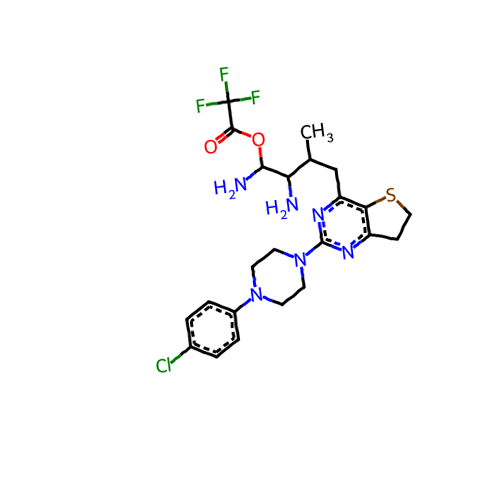 CC(Cc1nc(N2CCN(c3ccc(Cl)cc3)CC2)nc2c1SCC2)C(N)C(N)OC(=O)C(F)(F)F